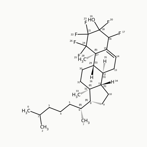 CC(C)CCC[C@@H](C)[C@H]1CC[C@H]2[C@@H]3CC=C4C(F)C(O)(F)C(F)(F)C(F)(F)[C@]4(C)[C@H]3CC[C@]12C